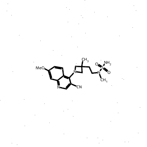 COc1ccc2c(N3CC(C)(CCN(C)S(N)(=O)=O)C3)c(C#N)cnc2c1